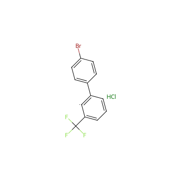 Cl.FC(F)(F)c1[c]c(-c2ccc(Br)cc2)ccc1